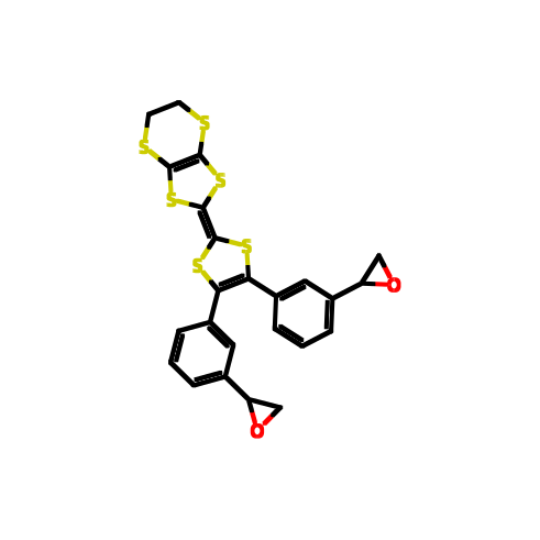 c1cc(C2=C(c3cccc(C4CO4)c3)SC(=C3SC4=C(SCCS4)S3)S2)cc(C2CO2)c1